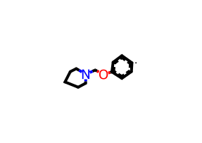 [c]1ccc(OCN2CCCCC2)cc1